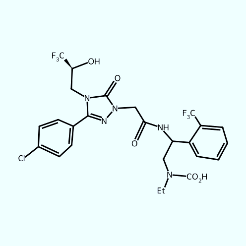 CCN(CC(NC(=O)Cn1nc(-c2ccc(Cl)cc2)n(C[C@H](O)C(F)(F)F)c1=O)c1ccccc1C(F)(F)F)C(=O)O